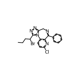 CCCC(Br)c1nnc2n1-c1ccc(Cl)nc1C(c1ccccc1)=NC2